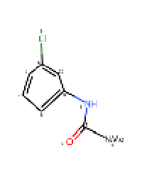 CNC(=O)Nc1cccc(Cl)c1